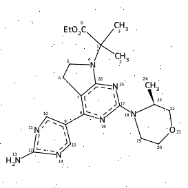 CCOC(=O)C(C)(C)N1CCc2c(-c3cnc(N)nc3)nc(N3CCOC[C@@H]3C)nc21